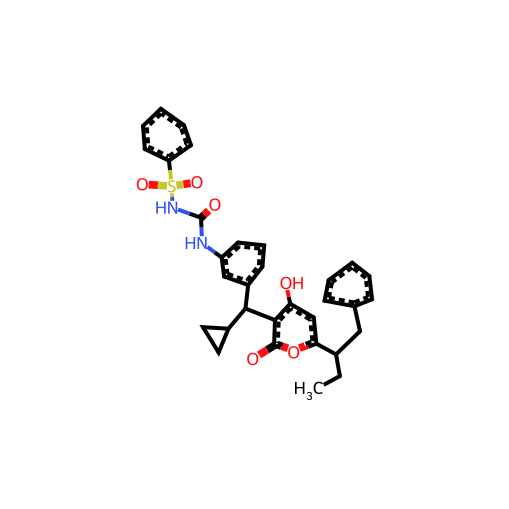 CCC(Cc1ccccc1)c1cc(O)c(C(c2cccc(NC(=O)NS(=O)(=O)c3ccccc3)c2)C2CC2)c(=O)o1